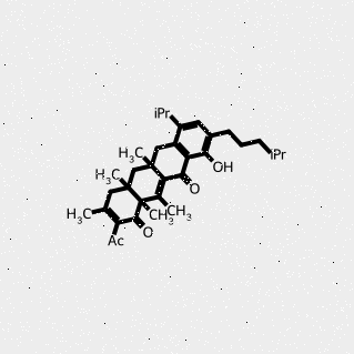 CC(=O)C1=C(C)CC2(C)CC3(C)Cc4c(C(C)C)cc(CCCC(C)C)c(O)c4C(=O)C3=C(C)C2(C)C1=O